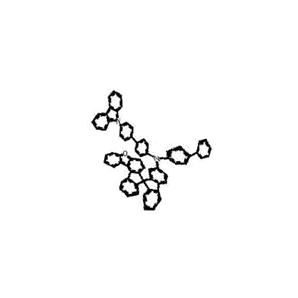 c1ccc(-c2ccc(N(c3ccc(-c4ccc(-n5c6ccccc6c6ccccc65)cc4)cc3)c3ccc4c(c3)C3(c5ccccc5-4)c4ccccc4-c4c3ccc3oc5ccccc5c43)cc2)cc1